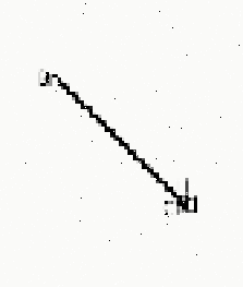 Cl[SiH](Cl)CCCCCCCCCCCCCCCCCCCCCCCCCCCCCCCCCBr